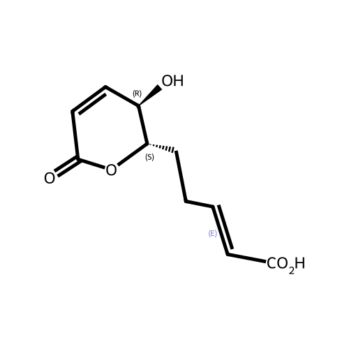 O=C(O)/C=C/CC[C@@H]1OC(=O)C=C[C@H]1O